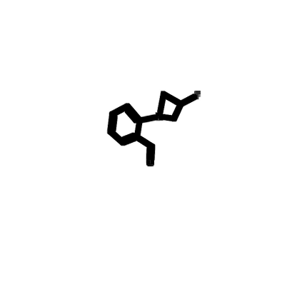 O=Cc1ccccc1N1CC(F)C1